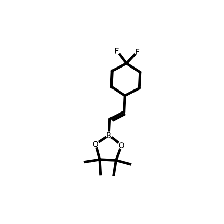 CC1(C)OB(C=CC2CCC(F)(F)CC2)OC1(C)C